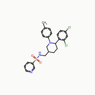 Cc1ccc(N2CC(CNS(=O)(=O)c3cccnc3)CCC2c2ccc(Cl)cc2Cl)cc1